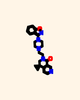 O=C1c2cnccc2C2(CC2)CN1CCN1CCN(c2noc3ccccc23)CC1